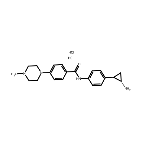 CN1CCN(c2ccc(C(=O)Nc3ccc([C@H]4C[C@@H]4N)cc3)cc2)CC1.Cl.Cl